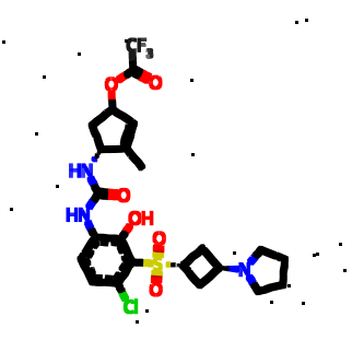 CC1=CC(OC(=O)C(F)(F)F)C[C@H]1NC(=O)Nc1ccc(Cl)c(S(=O)(=O)[C@H]2C[C@H](N3CCCC3)C2)c1O